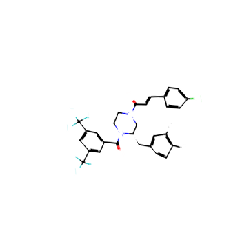 Cc1ccc(C[C@@H]2CN(C(=O)/C=C/c3ccc(Cl)cc3)CCN2C(=O)c2cc(C(F)(F)F)cc(C(F)(F)F)c2)cc1C